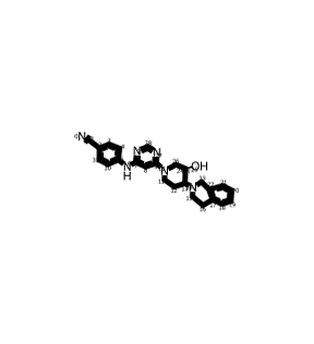 N#Cc1ccc(Nc2cc(N3CCC(N4CCc5ccccc5C4)[C@@H](O)C3)ncn2)cc1